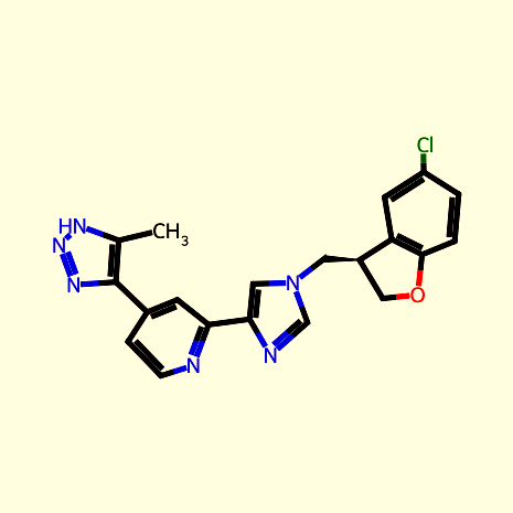 Cc1[nH]nnc1-c1ccnc(-c2cn(C[C@@H]3COc4ccc(Cl)cc43)cn2)c1